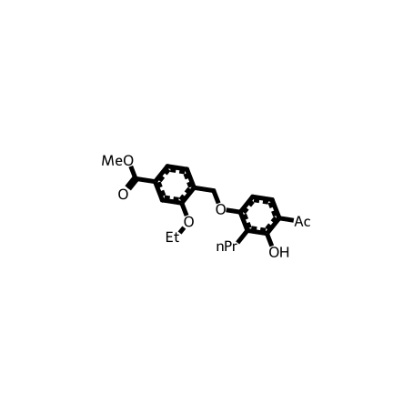 CCCc1c(OCc2ccc(C(=O)OC)cc2OCC)ccc(C(C)=O)c1O